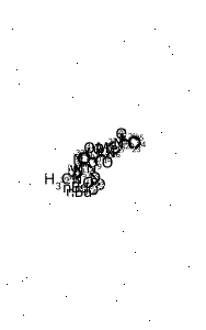 CCCCOP(=O)(OCCCC)OCn1cc(C(=O)C(=O)N2CCN(C(=O)c3ccccc3)CC2)c2c(OC)cnc(-n3cnc(C)n3)c21